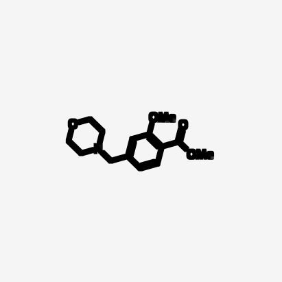 COC(=O)c1ccc(CN2CCOCC2)cc1OC